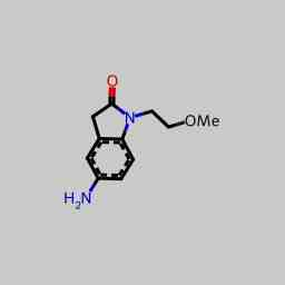 COCCN1C(=O)Cc2cc(N)ccc21